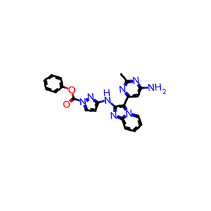 Cc1nc(N)cc(-c2c(Nc3ccn(C(=O)Oc4ccccc4)n3)nc3ccccn23)n1